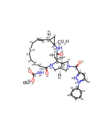 Cc1cc(C(=O)N2C[C@H]3CN4C(=O)[C@H](NC(=O)OC(C)(C)C)CCCCC/C=C\[C@H]5C[C@@]5(C(=O)O)NC(=O)[C@@H]4[C@H]3C2)nn1-c1ccccc1